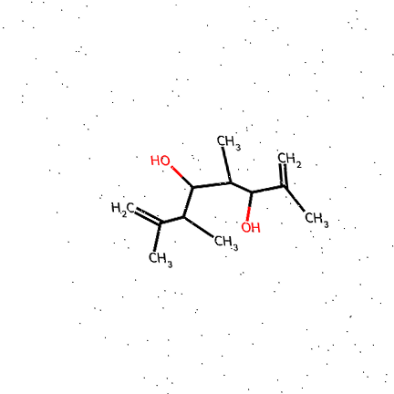 C=C(C)C(C)C(O)C(C)C(O)C(=C)C